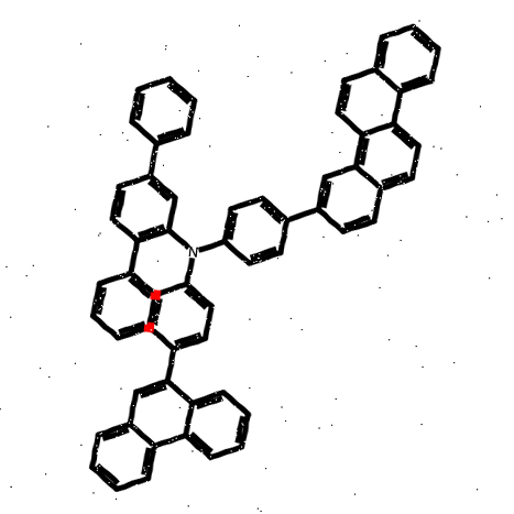 c1ccc(-c2ccc(-c3ccccc3)c(N(c3ccc(-c4ccc5ccc6c7ccccc7ccc6c5c4)cc3)c3ccc(-c4cc5ccccc5c5ccccc45)cc3)c2)cc1